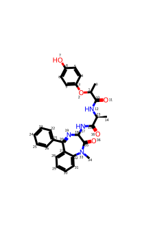 CC(Oc1ccc(O)cc1)C(=O)N[C@@H](C)C(=O)NC1N=C(c2ccccc2)c2ccccc2N(C)C1=O